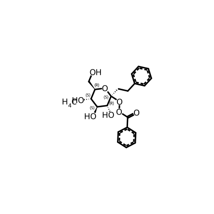 C.O=C(OO[C@]1(CCc2ccccc2)O[C@H](CO)[C@@H](O)[C@H](O)[C@H]1O)c1ccccc1